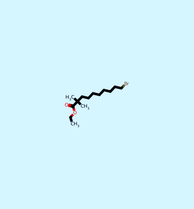 CCOC(=O)C(C)(C)CCCCCCCCBr